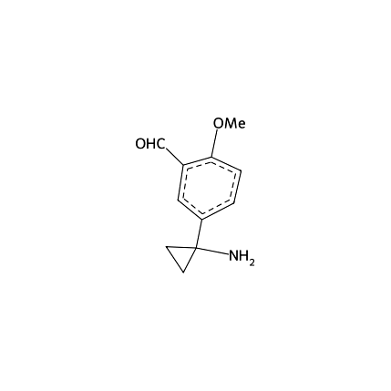 COc1ccc(C2(N)CC2)cc1C=O